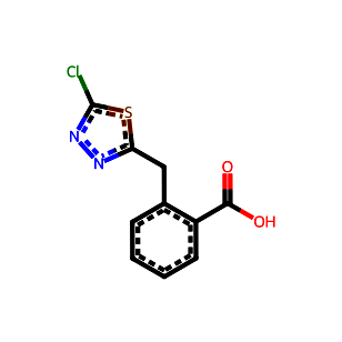 O=C(O)c1ccccc1Cc1nnc(Cl)s1